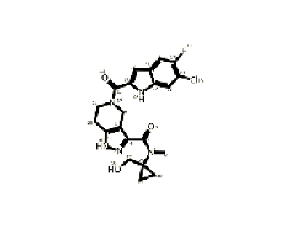 CN(C(=O)c1n[nH]c2c1CN(C(=O)c1cc3cc(F)c(Cl)cc3[nH]1)CC2)C1(CO)CC1